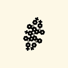 CC(C)(C)c1ccc(-n2c3ccccc3c3c4c5c(cc6c7ccccc7n(-c7ccc(C(C)(C)C)cc7)c6c5cc32)B2c3c-4cc(C(C)(C)C)cc3-c3c4c2cc2c5ccccc5n(-c5ccc(C(C)(C)C)cc5)c2c4cc2c3c3ccccc3n2-c2ccc(C(C)(C)C)cc2)cc1